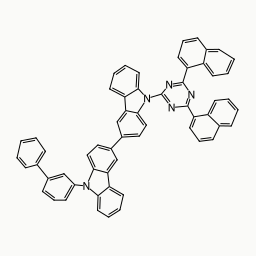 c1ccc(-c2cccc(-n3c4ccccc4c4cc(-c5ccc6c(c5)c5ccccc5n6-c5nc(-c6cccc7ccccc67)nc(-c6cccc7ccccc67)n5)ccc43)c2)cc1